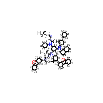 C=C/C=C\C=C(/C)N(c1ccccc1)c1cc(N(/C(C)=C/C=C(\C=C)c2ccc3oc4ccccc4c3c2)c2ccc(-c3cccc4c3oc3ccccc34)cc2)cc(N(c2ccc(-c3ccccc3)cc2)c2cccc3ccccc23)c1